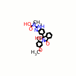 COc1ccc(C)c(N2C(=O)c3ccccc3C2(O)c2ccc3[nH]c(N(C)C(=O)O)nc3c2)c1